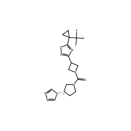 O=C(N1CC(c2noc(C3(C(F)(F)F)CC3)n2)C1)N1CC[C@H](n2cnnc2)C1